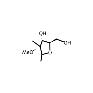 CO[C@@]1(C)C(C)O[C@H](CO)[C@H]1O